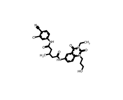 CCn1c(=O)c2cc(NC(=O)CC(C)CC(=O)Nc3ccc(C#N)c(Cl)c3)ccc2n(CCCO)c1=O